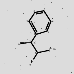 C[C@@H](c1cc[c]cc1)C(F)F